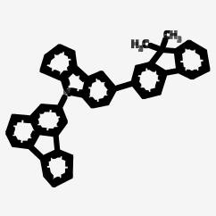 CC1(C)c2ccccc2-c2ccc(-c3ccc4c(c3)c3ccccc3n4-c3cc4c5c(cccc5c3)-c3ccccc3-4)cc21